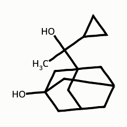 CC(O)(C1CC1)C12CC3CC(CC(O)(C3)C1)C2